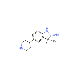 CC(C)C1(C)C(=N)Nc2ccc(C3CCNCC3)cc21